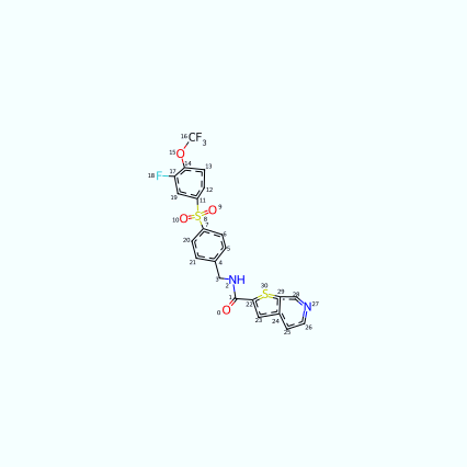 O=C(NCc1ccc(S(=O)(=O)c2ccc(OC(F)(F)F)c(F)c2)cc1)c1cc2ccncc2s1